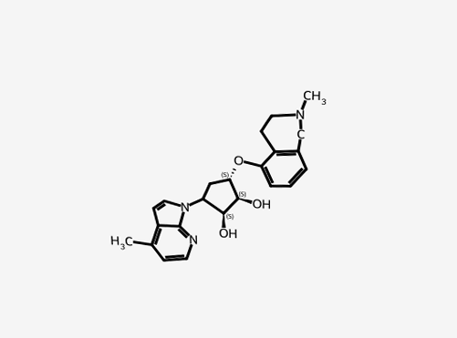 Cc1ccnc2c1ccn2C1C[C@H](Oc2cccc3c2CCN(C)C3)[C@@H](O)[C@H]1O